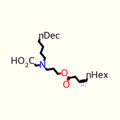 CCCCCC/C=C\CC(=O)OCCCN(CCCCCCCCCCCCCC)CC(=O)O